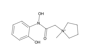 C[N+]1(CC(=O)N(O)c2ccccc2O)CCCC1